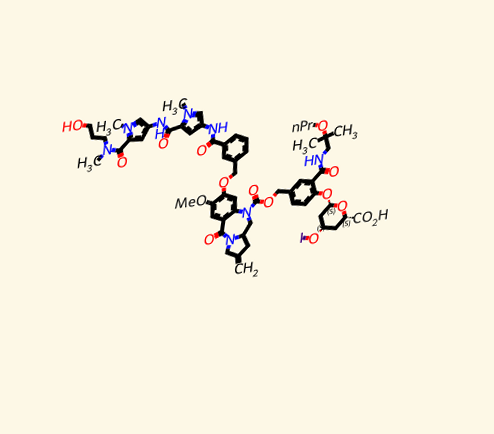 C=C1CC2CN(C(=O)OCc3ccc(O[C@H]4C[C@@H](OI)C[C@@H](C(=O)O)O4)c(C(=O)NCC(C)(C)OCCC)c3)c3cc(OCc4cccc(C(=O)Nc5cc(C(=O)Nc6cc(C(=O)N(C)CCCO)n(C)c6)n(C)c5)c4)c(OC)cc3C(=O)N2C1